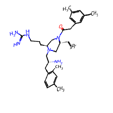 Cc1cc(C)cc(CC(=O)N2C[C@H](CCCNC(=N)N)N(C[C@H](N)Cc3ccc(C)cc3C)C[C@H]2CC(C)C)c1